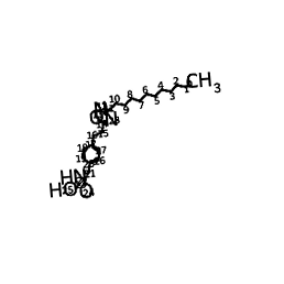 CCCCCCCCCCCc1noc(CCc2ccc(CNC(=O)O)cc2)n1